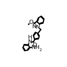 COc1nn(Cc2ccc(C(=O)Nc3ccccc3N)cc2)c2ccccc12